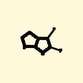 Fc1oc2sccc2c1F